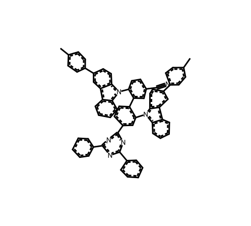 Cc1ccc(-c2ccc3c(c2)c2ccccc2n3-c2ccc(C#N)cc2-c2ccc(-c3nc(-c4ccccc4)nc(-c4ccccc4)n3)cc2-n2c3ccccc3c3cc(-c4ccc(C)cc4)ccc32)cc1